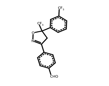 O=Cc1ccc(C2=NOC(c3cccc(C(F)(F)F)c3)(C(F)(F)F)C2)cc1